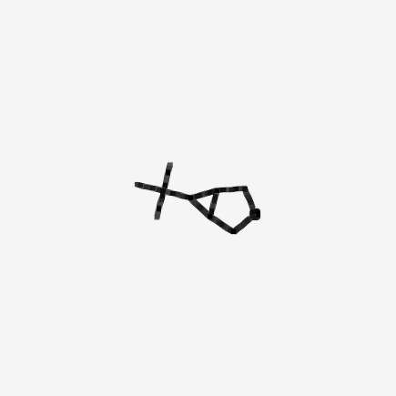 CC(C)(C)C1C2COCC21